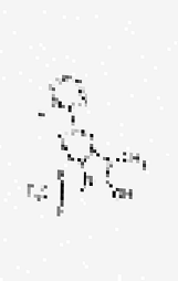 CN1c2cc(-c3ncccc3F)ncc2N(CC(F)(F)C(F)(F)F)C1O